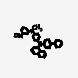 CN(c1ccc(N(c2ccc(-c3ccccc3)cc2)c2cccc3ccccc23)cc1)c1cccc(N=O)c1